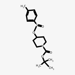 Cc1ccc(S(=O)OC2CCN(C(=O)OC(C)(C)C)CC2)cc1